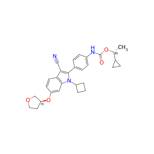 C[C@@H](OC(=O)Nc1ccc(-c2c(C#N)c3ccc(O[C@H]4CCOC4)cc3n2C2CCC2)cc1)C1CC1